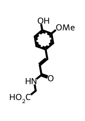 COc1cc(/C=C/C(=O)NCC(=O)O)ccc1O